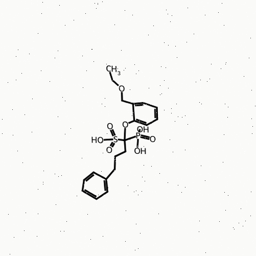 CCOCc1ccccc1OC(CCCc1ccccc1)(P(=O)(O)O)S(=O)(=O)O